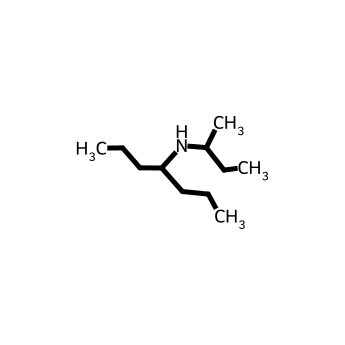 CCCC(CCC)NC(C)CC